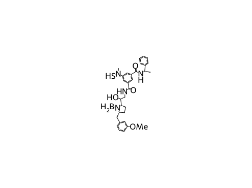 BN1[C@H](Cc2cccc(OC)c2)CC[C@@H]1[C@@H](O)CNC(=O)c1cc(C(=O)N[C@H](C)c2ccccc2)cc(N(C)S)c1